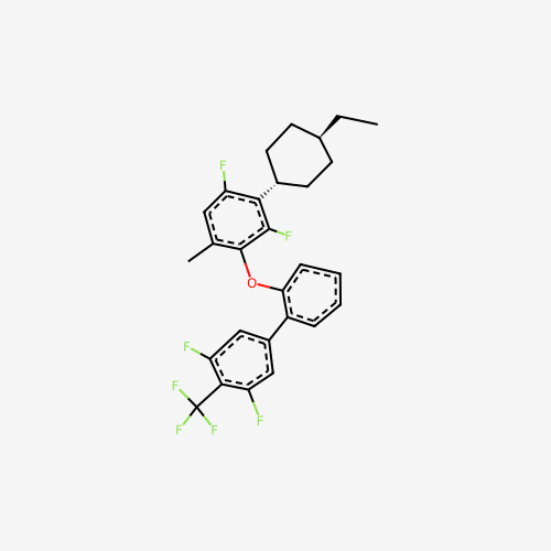 CC[C@H]1CC[C@H](c2c(F)cc(C)c(Oc3ccccc3-c3cc(F)c(C(F)(F)F)c(F)c3)c2F)CC1